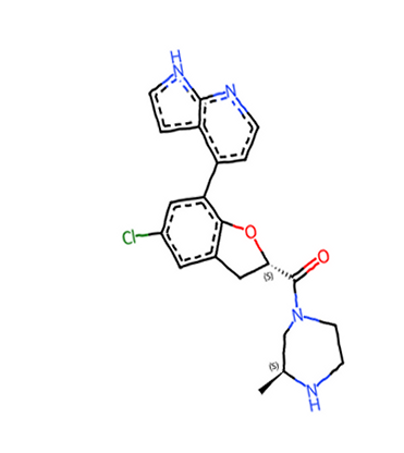 C[C@H]1CN(C(=O)[C@@H]2Cc3cc(Cl)cc(-c4ccnc5[nH]ccc45)c3O2)CCN1